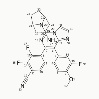 COc1ccc(-c2c(-c3ccc(C#N)c(F)c3F)nc(N3C4CCC3CC(N)C4)n3ccnc23)cc1F